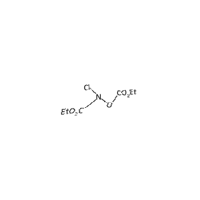 CCOC(=O)ON(Cl)C(=O)OCC